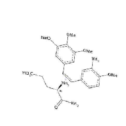 COc1ccc(/C=C\c2cc(OC)c(OC)c(OC)c2)cc1N.NC(=O)[C@H](N)CCC(=O)O